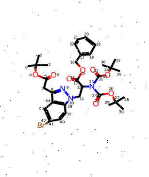 CC(C)(C)OC(=O)Cc1nn(CC(C(=O)OCc2ccccc2)N(C(=O)OC(C)(C)C)C(=O)OC(C)(C)C)c2ccc(Br)cc12